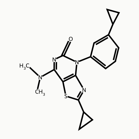 CN(C)c1nc(=O)n(-c2cccc(C3CC3)c2)c2nc(C3CC3)sc12